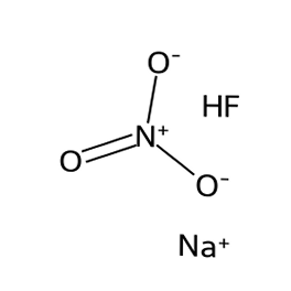 F.O=[N+]([O-])[O-].[Na+]